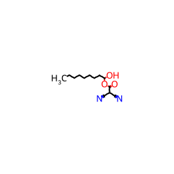 CCCCCCCCC(O)OC(=O)C(C#N)C#N